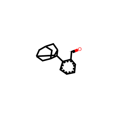 O=[C]c1ccccc1C1C2CC3CC(C2)CC1C3